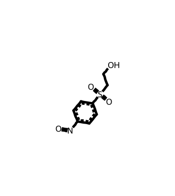 O=Nc1ccc(S(=O)(=O)CCO)cc1